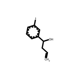 C=CCC(O)c1cccc(I)c1